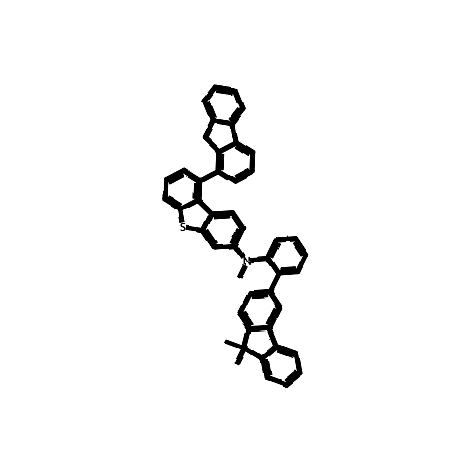 CN(c1ccc2c(c1)sc1cccc(-c3cccc4c3Cc3ccccc3-4)c12)c1ccccc1-c1ccc2c(c1)-c1ccccc1C2(C)C